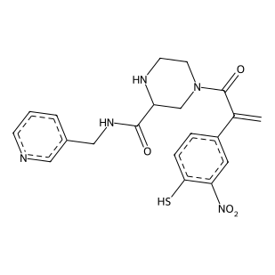 C=C(C(=O)N1CCNC(C(=O)NCc2cccnc2)C1)c1ccc(S)c([N+](=O)[O-])c1